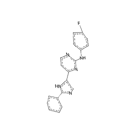 Fc1ccc(Nc2nccc(-c3cnc(-c4ccccc4)[nH]3)n2)cc1